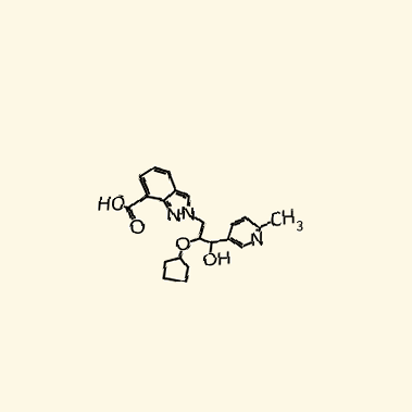 Cc1ccc(C(O)C(Cn2cc3cccc(C(=O)O)c3n2)OC2CCCC2)cn1